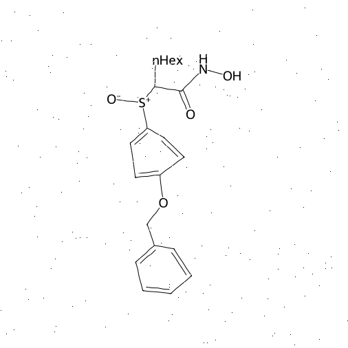 CCCCCCC(C(=O)NO)[S+]([O-])c1ccc(OCc2ccccc2)cc1